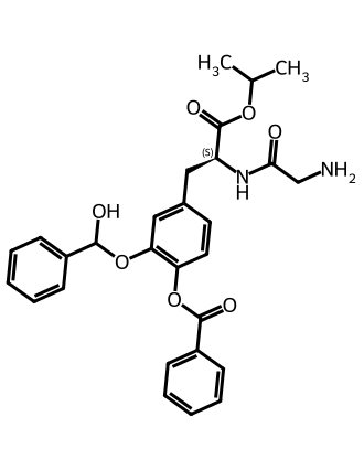 CC(C)OC(=O)[C@H](Cc1ccc(OC(=O)c2ccccc2)c(OC(O)c2ccccc2)c1)NC(=O)CN